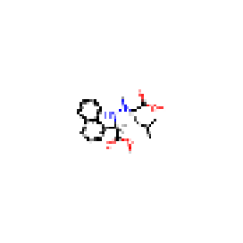 COC(=O)[C@](C)(NN(C)[C@@H](CC(C)C)C(=O)O)c1cccc2ccccc12